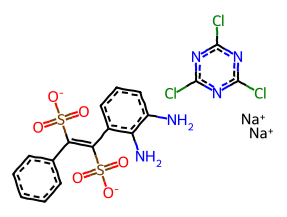 Clc1nc(Cl)nc(Cl)n1.Nc1cccc(C(=C(c2ccccc2)S(=O)(=O)[O-])S(=O)(=O)[O-])c1N.[Na+].[Na+]